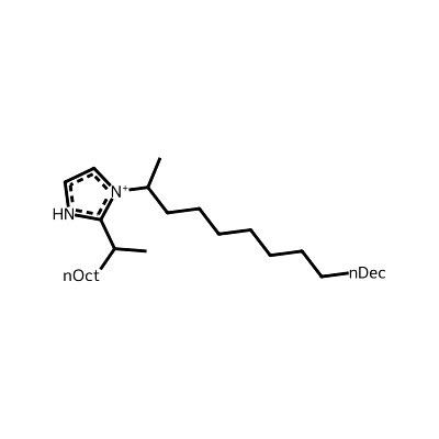 CCCCCCCCCCCCCCCCCC(C)[n+]1cc[nH]c1C(C)CCCCCCCC